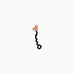 CS(=O)(=O)OCCC#CCCCCCC1CCCCC1